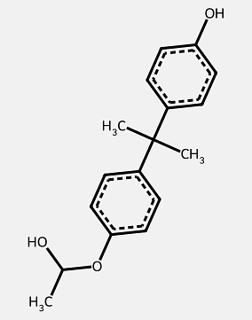 CC(O)Oc1ccc(C(C)(C)c2ccc(O)cc2)cc1